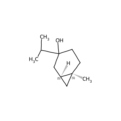 CC(C)C1(O)CC[C@@]2(C)C[C@H]2C1